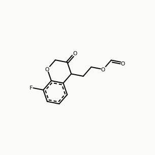 O=COCCC1C(=O)COc2c(F)cccc21